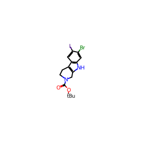 CC(C)(C)OC(=O)N1CCc2c([nH]c3cc(Br)c(I)cc23)C1